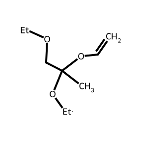 C=COC(C)(COCC)O[CH]C